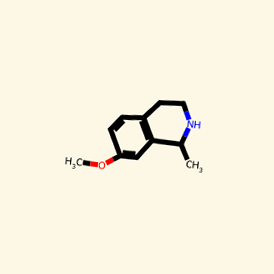 COc1ccc2c(c1)C(C)NCC2